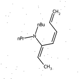 C=C/C=C\C(=C/C)N(CCC)CCCC